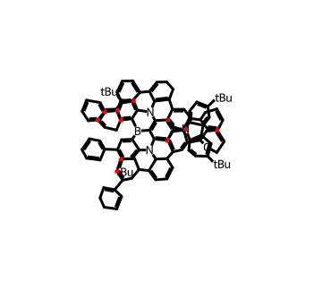 CC(C)(C)c1ccc2c(c1)c1cc(C(C)(C)C)ccc1n2-c1cc2c3c(c1)N(C1C(C4CCC=C(C5=CCCC=C5)C4)=CC=CC1C1=CCCC(C4CC=CCC4)=C1)c1cc(C(C)(C)C)c(-c4ccccc4)cc1B3c1cc(-c3ccccc3)c(C(C)(C)C)cc1N2C1=C(c2cccc(C3C=CC=CC3)c2)CCC=C1c1cccc(C2=CC=CCC2)c1